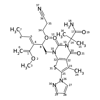 C=C(OC)/C(=C\CC)[C@H](Cn1c(=O)n(C(C)(C)C(N)=O)c(=O)c2c(C)c(-n3cccn3)sc21)OCCC#N